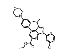 CCOC(=O)c1cc(-c2ccc(N3CCOCC3)cc2)c2c(C(C)C)nn(-c3cc(Cl)ccn3)c2n1